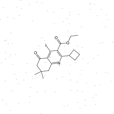 CCOC(=O)c1c(C2CCC2)nc2c(c1I)C(=O)CC(C)(C)C2